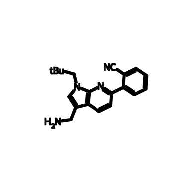 CC(C)(C)Cn1cc(CN)c2ccc(-c3ccccc3C#N)nc21